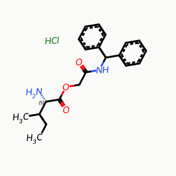 CCC(C)[C@H](N)C(=O)OCC(=O)NC(c1ccccc1)c1ccccc1.Cl